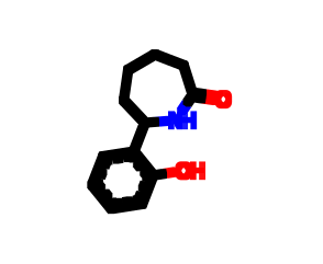 O=C1CCCCC(c2ccccc2O)N1